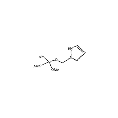 CCC[Si](OC)(OC)OCN1CC=CN1